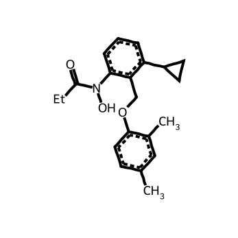 CCC(=O)N(O)c1cccc(C2CC2)c1COc1ccc(C)cc1C